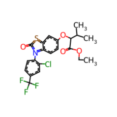 CCOC(=O)C(Oc1ccc2c(c1)sc(=O)n2-c1ccc(C(F)(F)F)cc1Cl)C(C)C